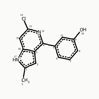 Cc1cc2c(-c3cccc(O)c3)nc(Cl)cc2[nH]1